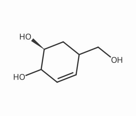 OCC1C=CC(O)[C@@H](O)C1